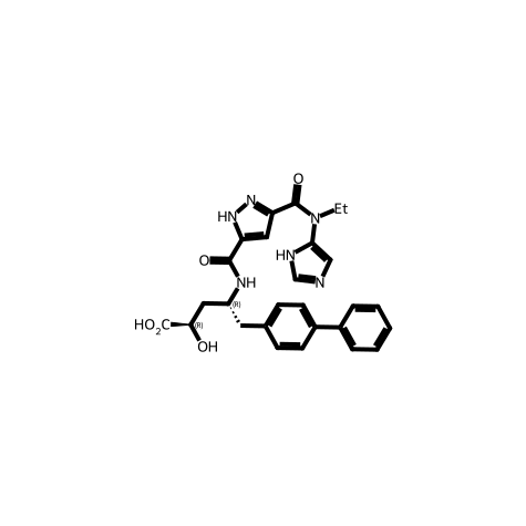 CCN(C(=O)c1cc(C(=O)N[C@H](Cc2ccc(-c3ccccc3)cc2)C[C@@H](O)C(=O)O)[nH]n1)c1cnc[nH]1